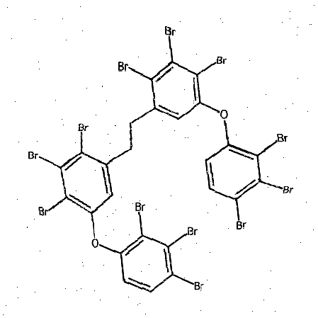 Brc1ccc(Oc2cc(CCc3cc(Oc4ccc(Br)c(Br)c4Br)c(Br)c(Br)c3Br)c(Br)c(Br)c2Br)c(Br)c1Br